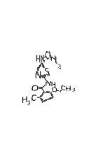 CCOc1cccc(C)c1C(=O)Nc1ncc(NC)s1